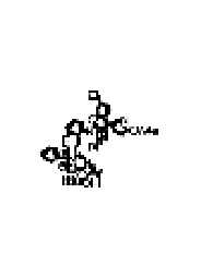 COc1ccc([C@H](c2ccc(Cl)cc2)[C@H](N=[N+]=[N-])C(=O)Nc2cccc(F)c2CC[C@@H](CN(CC2(CO)CC2)C(=O)OC(C)(C)C)NS(=O)(=O)c2ccccc2)cn1